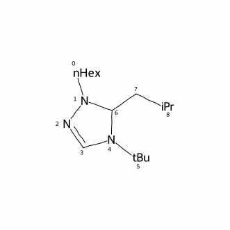 CCCCCCN1N=CN(C(C)(C)C)C1CC(C)C